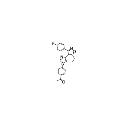 CCc1onc(-c2ccc(F)cc2)c1-c1cn(-c2ccc(C(C)=O)cc2)cn1